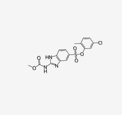 COC(=O)Nc1nc2cc(S(=O)(=O)Oc3cc(Cl)ccc3C)ccc2[nH]1